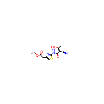 CCOC(=O)Cc1csc(NC(=O)C(C#N)=C(C)O)n1